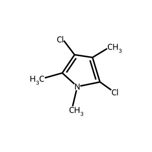 Cc1c(Cl)c(C)n(C)c1Cl